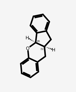 c1ccc2c(c1)C[C@@H]1Cc3ccccc3[C@@H]1O2